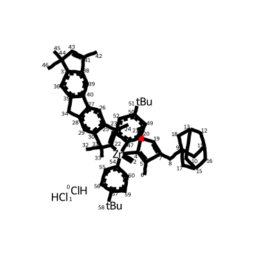 Cl.Cl.[CH2]=[Zr]([C]1=C(C)C(CC23CC4CC(CC(C4)C2)C3)=CC1C)([C]1=C(C)c2cc3c(cc2C1(C)C)Cc1cc2c(cc1-3)C(C)=CC2(C)C)([c]1ccc(C(C)(C)C)cc1)[c]1ccc(C(C)(C)C)cc1